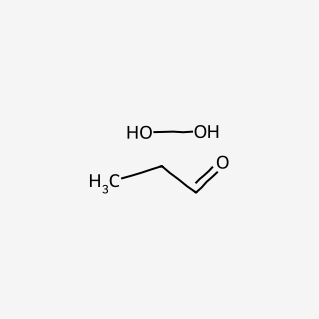 CCC=O.OO